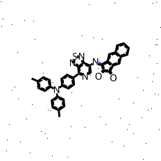 Cc1ccc(N(c2ccc(C)cc2)c2ccc(-c3ncc(/N=c4\c(=O)c(=O)c5cc6ccccc6cc45)c4nsnc34)cc2)cc1